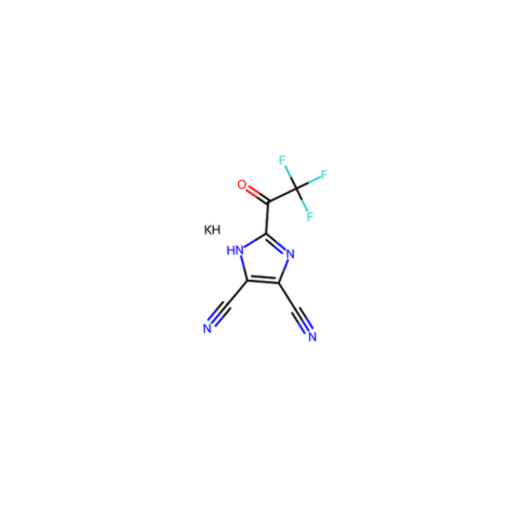 N#Cc1nc(C(=O)C(F)(F)F)[nH]c1C#N.[KH]